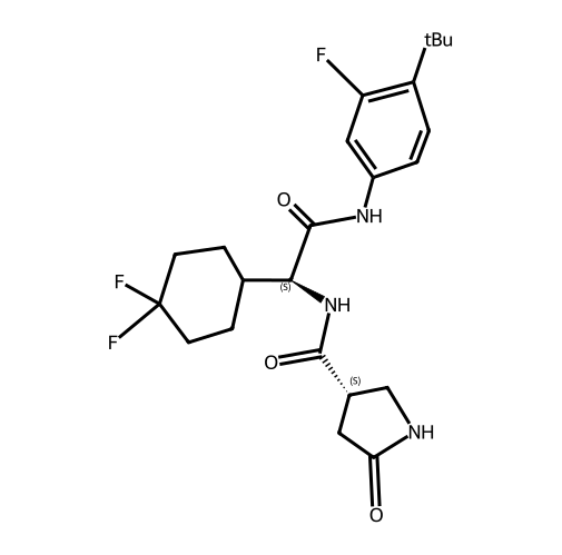 CC(C)(C)c1ccc(NC(=O)[C@@H](NC(=O)[C@@H]2CNC(=O)C2)C2CCC(F)(F)CC2)cc1F